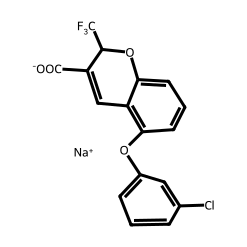 O=C([O-])C1=Cc2c(Oc3cccc(Cl)c3)cccc2OC1C(F)(F)F.[Na+]